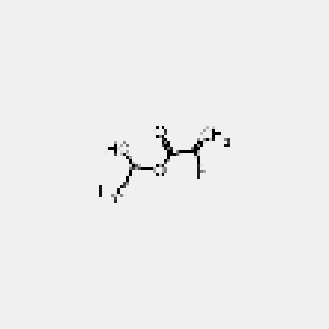 C=C(F)C(=O)OC(C)O